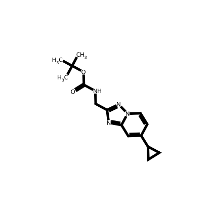 CC(C)(C)OC(=O)NCc1nc2cc(C3CC3)ccn2n1